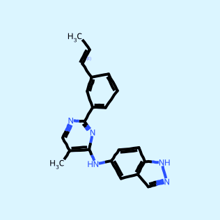 C/C=C/c1cccc(-c2ncc(C)c(Nc3ccc4[nH]ncc4c3)n2)c1